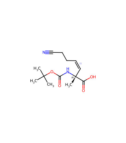 CC(C)(C)OC(=O)N[C@](C)(/C=C\CCC#N)C(=O)O